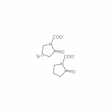 O=C([O-])N1CCCC1=O.O=C([O-])N1CCCC1=O.[Sr+2]